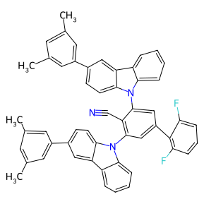 Cc1cc(C)cc(-c2ccc3c(c2)c2ccccc2n3-c2cc(-c3c(F)cccc3F)cc(-n3c4ccccc4c4cc(-c5cc(C)cc(C)c5)ccc43)c2C#N)c1